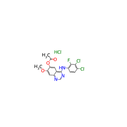 COc1cc2ncnc(Nc3ccc(Cl)c(Cl)c3F)c2cc1OC(C)=O.Cl